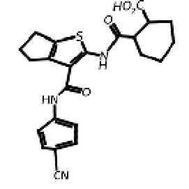 N#Cc1ccc(NC(=O)c2c(NC(=O)C3CCCCC3C(=O)O)sc3c2CCC3)cc1